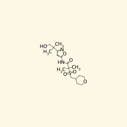 CC(C)(CO)c1cc(NC(=O)C(C)(C)S(=O)(=O)CC2CCOCC2)on1